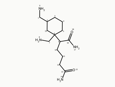 NCC1CCCC(CN)(C(CCCC(N)=O)C(N)=O)C1